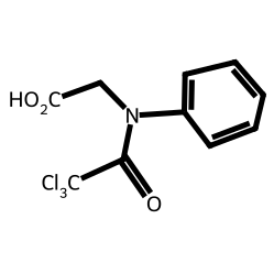 O=C(O)CN(C(=O)C(Cl)(Cl)Cl)c1ccccc1